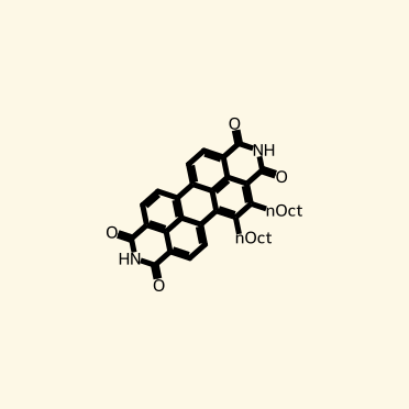 CCCCCCCCc1c2c3c(ccc4c5ccc6c7c(ccc(c(c1CCCCCCCC)c34)c75)C(=O)NC6=O)C(=O)NC2=O